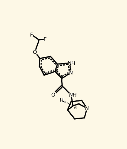 O=C(N[C@H]1CN2CCC1CC2)c1n[nH]c2cc(OC(F)F)ccc12